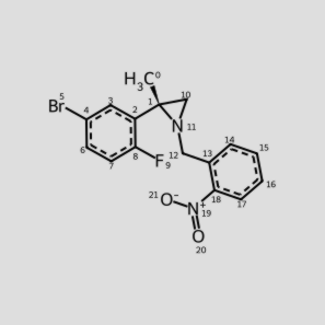 C[C@@]1(c2cc(Br)ccc2F)CN1Cc1ccccc1[N+](=O)[O-]